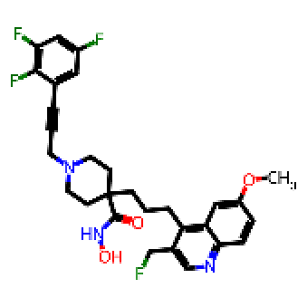 COc1ccc2ncc(CF)c(CCCC3(C(=O)NO)CCN(CC#Cc4cc(F)cc(F)c4F)CC3)c2c1